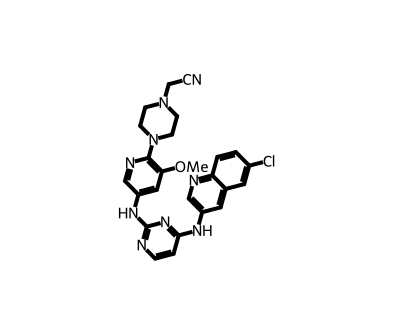 COc1cc(Nc2nccc(Nc3cnc4ccc(Cl)cc4c3)n2)cnc1N1CCN(CC#N)CC1